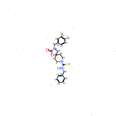 O=C1OC2(CCN(C(=S)NCc3ccccc3)CC2)CN1Cc1ccc(F)c(F)c1